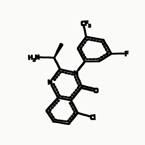 C[C@H](N)c1nc2cccc(Cl)c2c(=O)n1-c1cc(F)cc(C(F)(F)F)c1